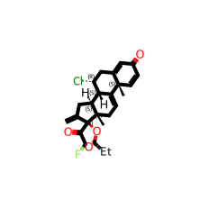 C=C1C[C@H]2[C@H]3C(=CC[C@]2(C)[C@]1(OC(=O)CC)C(=O)CF)[C@@]1(C)C=CC(=O)C=C1C[C@H]3Cl